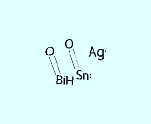 [Ag].[O]=[BiH].[O]=[Sn]